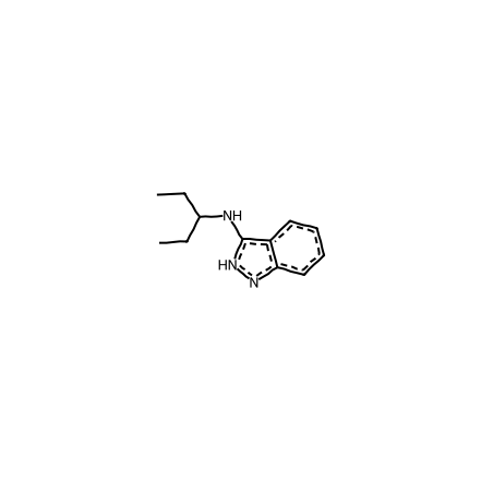 CCC(CC)Nc1[nH]nc2ccccc12